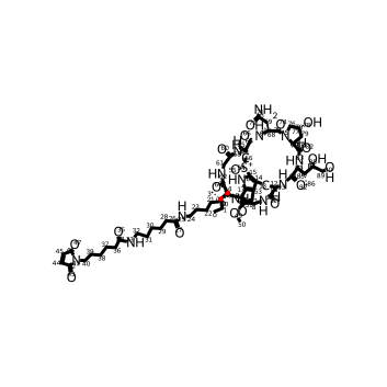 CC[C@H](C)[C@@H]1NC(=O)CNC(=O)[C@@H]2Cc3c([nH]c4c(CSCCCCNC(=O)CCCCCNC(=O)CCCCCN5C(=O)C=CC5=O)c(OC)ccc34)[S+]([O-])C[C@H](NC(=O)CNC1=O)C(=O)N[C@@H](CC(N)=O)C(=O)N1C[C@H](O)C[C@H]1C(=O)N[C@@H]([C@@H](C)[C@H](O)CO)C(=O)N2